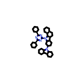 c1ccc(-c2nc(-c3ccccc3)nc(-n3c4cc(-n5c6ccccc6c6ccccc65)ccc4c4ccc5ccccc5c43)n2)cc1